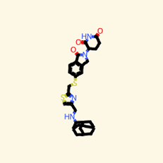 O=C1CCC(N2Cc3cc(SCc4nc(CNC5C6CC7CC(C6)CC5C7)cs4)ccc3C2=O)C(=O)N1